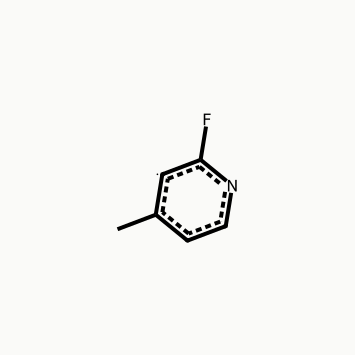 Cc1[c]c(F)ncc1